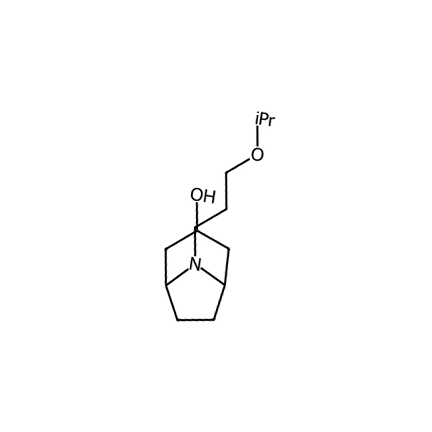 CC(C)OCCCN1C2CCC1CC(O)C2